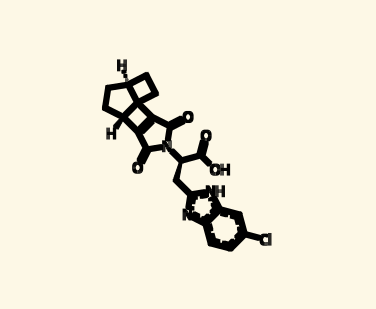 O=C(O)[C@@H](Cc1nc2ccc(Cl)cc2[nH]1)N1C(=O)C2=C(C1=O)C13CC[C@@H]1CC[C@@H]23